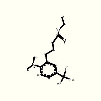 CCOC(=O)CCCc1cc(C(F)(F)F)cnc1N(C)C